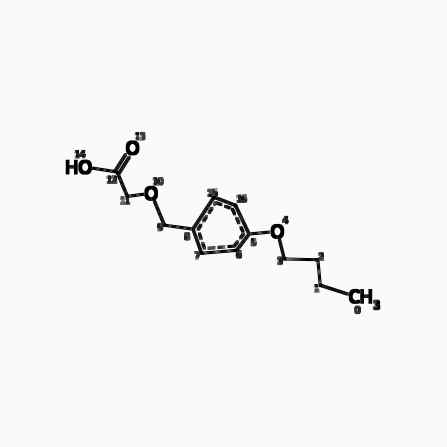 CCCCOc1ccc(COCC(=O)O)cc1